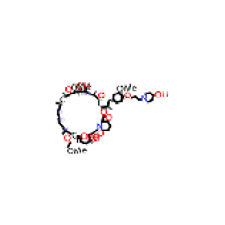 COCCOC1C[C@@H]2CC[C@@H](C)[C@@](O)(O2)C(=O)C(=O)N2CCCCC2C(=O)O[C@H]([C@H](C)C[C@@H]2CC[C@@H](OCCCN3CCC(O)CC3)[C@H](OC)C2)CC(=O)[C@H](C)/C=C(\C)[C@@H](O)[C@@H](OC)C(=O)[C@H](C)C[C@H](C)/C=C/C=C/C=C/1C